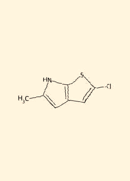 Cc1cc2cc(Cl)sc2[nH]1